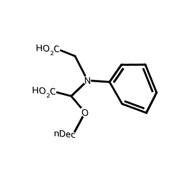 CCCCCCCCCCOC(C(=O)O)N(CC(=O)O)c1ccccc1